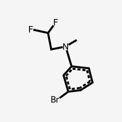 CN(CC(F)F)c1cccc(Br)c1